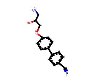 N#Cc1ccc(-c2ccc(OCC(O)CN)cc2)cc1